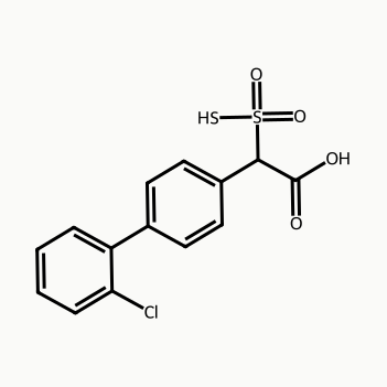 O=C(O)C(c1ccc(-c2ccccc2Cl)cc1)S(=O)(=O)S